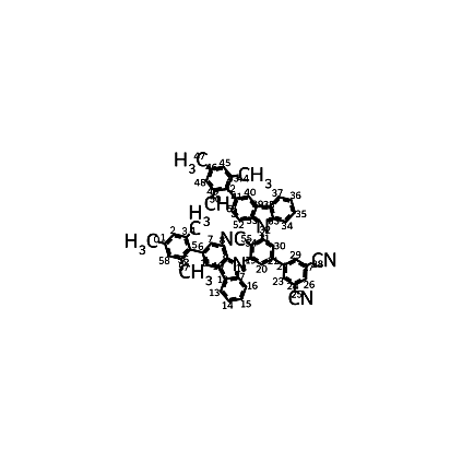 Cc1cc(C)c(-c2ccc3c(c2)c2ccccc2n3-c2cc(-c3cc(C#N)cc(C#N)c3)cc(-n3c4ccccc4c4cc(-c5c(C)cc(C)cc5C)ccc43)c2C#N)c(C)c1